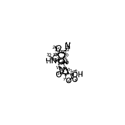 CC[C@@]1(O)C(=O)OCc2c1cc1n(c2=O)Cc2c-1nc1cc(C#N)c(OC)cc1c2NC(C)C